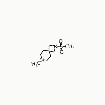 CN1CCC2(CC1)CCN(S(C)(=O)=O)C2